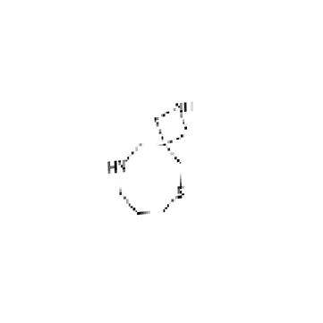 C1CNCC2(CNC2)CSC1